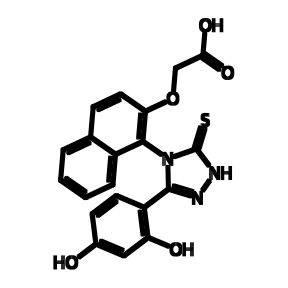 O=C(O)COc1ccc2ccccc2c1-n1c(-c2ccc(O)cc2O)n[nH]c1=S